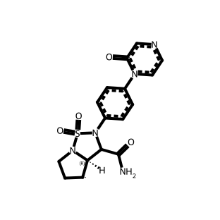 NC(=O)C1[C@H]2[CH]CCN2S(=O)(=O)N1c1ccc(-n2ccncc2=O)cc1